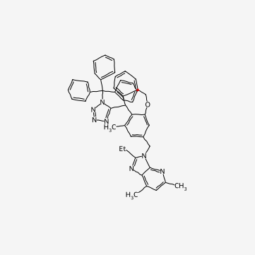 CCc1nc2c(C)cc(C)nc2n1Cc1cc(C)c2c(c1)OCc1ccccc1C2c1nnnn1C(c1ccccc1)(c1ccccc1)c1ccccc1